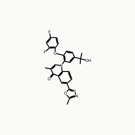 Cc1nnc(-c2ccc3c(c2)c(=O)c(C)cn3-c2cc(C(C)(C)O)ccc2Oc2ccc(F)cc2F)o1